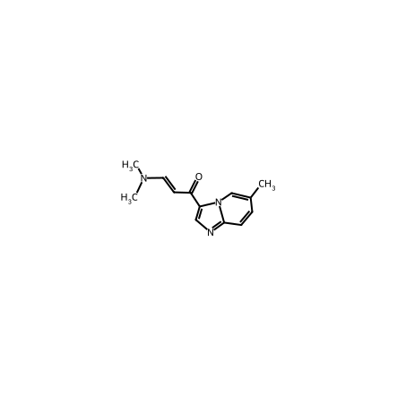 Cc1ccc2ncc(C(=O)C=CN(C)C)n2c1